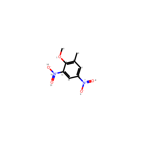 COc1c(C)cc([N+](=O)[O-])cc1[N+](=O)[O-]